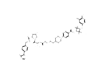 Cc1ncsc1-c1ccc(CNC(=O)[C@@H]2C[C@@H](O)CN2C(=O)[C@@H](NC(=O)COCCC2CCN(c3ccc(C(=O)N[C@H]4C(C)(C)[C@H](Oc5ccc(C#N)c(Cl)c5)C4(C)C)cc3)CC2)C(C)(C)C)cc1